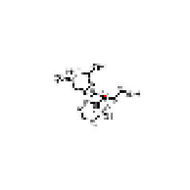 C=C/C=C(\C=C(/C)O)[C@]12CCC[C@H](CCC1)C2CCCO